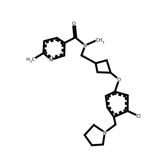 Cc1ccc(C(=O)N(C)CC2CC(Oc3ccc(CN4CCCC4)c(Cl)c3)C2)cn1